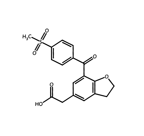 CS(=O)(=O)c1ccc(C(=O)c2cc(CC(=O)O)cc3c2OCC3)cc1